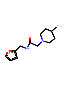 O=CC1CCN(CC(=O)NCc2ccco2)CC1